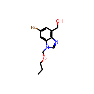 CCCOCn1cnc2c(CO)cc(Br)cc21